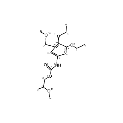 CCOc1cc(NC(=O)OCC(C)OC)cc(COC)c1OCC